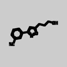 N#Cc1cccc(-c2cc(CCCO)on2)c1